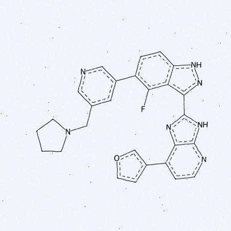 Fc1c(-c2cncc(CN3CCCC3)c2)ccc2[nH]nc(-c3nc4c(-c5ccoc5)ccnc4[nH]3)c12